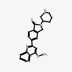 COc1cc(-c2ccc3c(c2)CN(C2CCCNC2)C3=O)nc2ccccc12